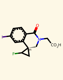 O=C(O)CN1C[C@@]2(CC2F)c2cc(I)ccc2C1=O